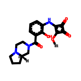 CCOc1c(Nc2cccc(C(=O)N3CCN4CCC[C@H]4C3)c2O)c(=O)c1=O